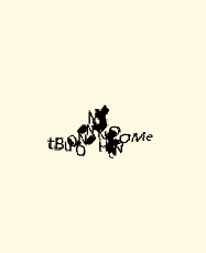 COc1nn(C)cc1C(=O)Nc1cc(C)cnc1N1CCN(C(=O)OC(C)(C)C)CC1